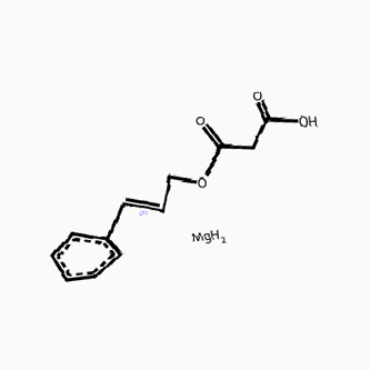 O=C(O)CC(=O)OC/C=C/c1ccccc1.[MgH2]